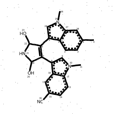 Cc1ccc2c(C3=C(c4cn(C)c5ccc(C#N)cc45)C(O)NC3O)cn(C)c2c1